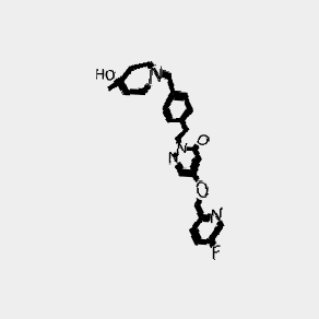 CC1(O)CCN(Cc2ccc(CCn3ncc(OCc4ccc(F)cn4)cc3=O)cc2)CC1